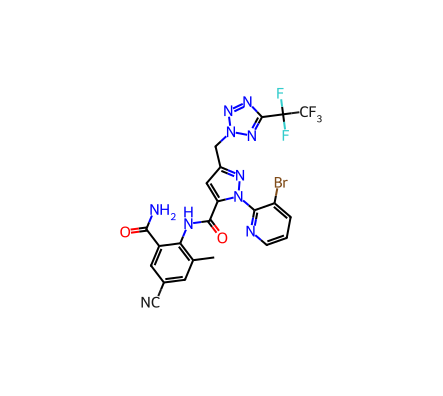 Cc1cc(C#N)cc(C(N)=O)c1NC(=O)c1cc(Cn2nnc(C(F)(F)C(F)(F)F)n2)nn1-c1ncccc1Br